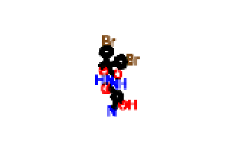 N#Cc1cc(C(=O)NNC(=O)c2occ(-c3ccc(Br)cc3)c2-c2ccc(Br)cc2)ccc1O